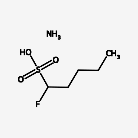 CCCCC(F)S(=O)(=O)O.N